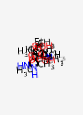 CC[C@@H](OC(=O)[C@H](C)C(=O)[C@H](C)[C@@H](OC1OC(C)CC(N(C)C)C1O)[C@@]1(C)C[C@@H](C)CN[C@H](C)C(=N)CO1)C(C)(C)O